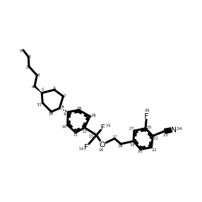 CCCCC[C@H]1CC[C@H](c2ccc(C(F)(F)OCCc3ccc(C#N)c(F)c3)cc2)CC1